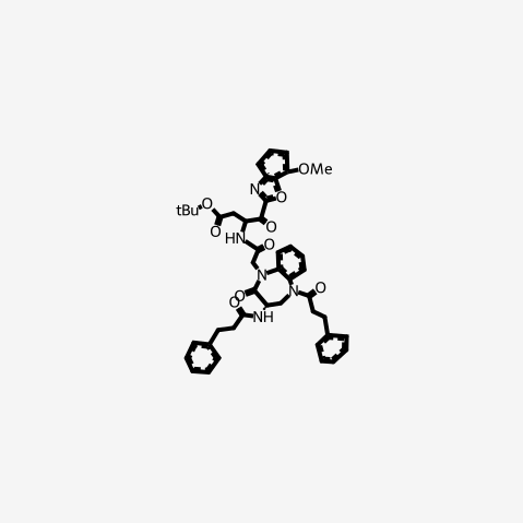 COc1cccc2nc(C(=O)C(CC(=O)OC(C)(C)C)NC(=O)CN3C(=O)[C@@H](NC(=O)CCc4ccccc4)CN(C(=O)CCc4ccccc4)c4ccccc43)oc12